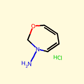 Cl.NN1C=CC=COC1